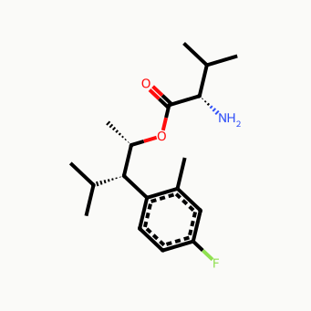 Cc1cc(F)ccc1[C@H](C(C)C)[C@H](C)OC(=O)[C@@H](N)C(C)C